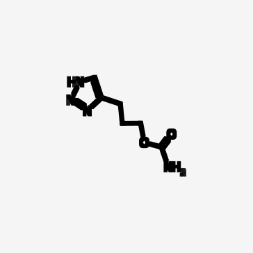 NC(=O)OCCCc1c[nH]nn1